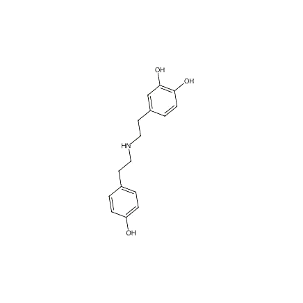 Oc1ccc(CCNCCc2ccc(O)c(O)c2)cc1